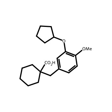 COc1ccc(CC2(C(=O)O)CCCCC2)cc1OC1CCCC1